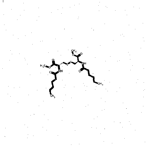 CCCCCC(=O)N[C@@H](CSSC[C@H](NC(=O)CCCCC)C(=O)OC)C(=O)OC